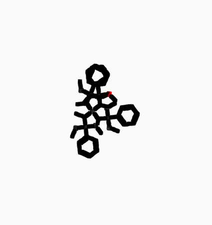 CO[Si](OC)(c1ccccc1)C(C)[Si](C(C)[Si](OC)(OC)c1ccccc1)(C(C)[Si](OC)(OC)c1ccccc1)C(C)[Si](OC)(OC)c1ccccc1